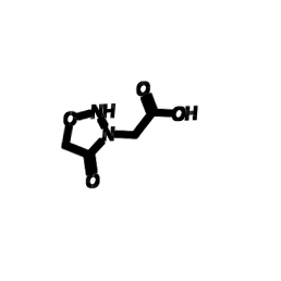 O=C(O)CN1NOCC1=O